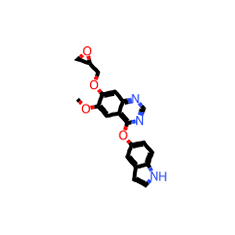 COc1cc2c(Oc3ccc4[nH]ccc4c3)ncnc2cc1OCC1CO1